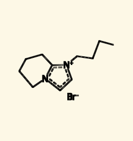 CCCC[n+]1ccn2c1CCCC2.[Br-]